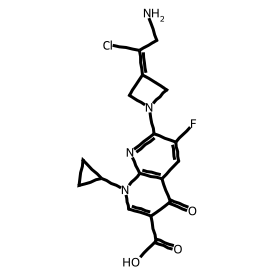 NCC(Cl)=C1CN(c2nc3c(cc2F)c(=O)c(C(=O)O)cn3C2CC2)C1